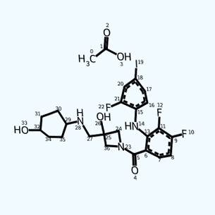 CC(=O)O.O=C(c1ccc(F)c(F)c1Nc1ccc(I)cc1F)N1CC(O)(CNC2CCC(O)CC2)C1